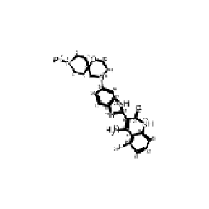 CC(C)N1CCC2(CC1)CN(c1ccc3nc(-c4c(N)c5c(F)cccc5[nH]c4=O)[nH]c3c1)CCO2